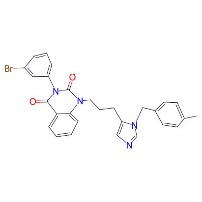 Cc1ccc(Cn2cncc2CCCn2c(=O)n(-c3cccc(Br)c3)c(=O)c3ccccc32)cc1